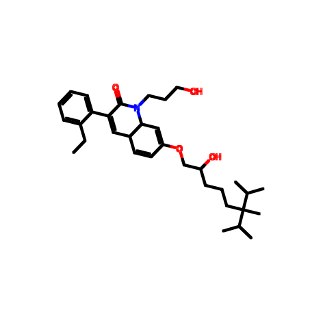 CCc1ccccc1C1=CC2C=CC(OCC(O)CCCC(C)(C(C)C)C(C)C)=CC2N(CCCO)C1=O